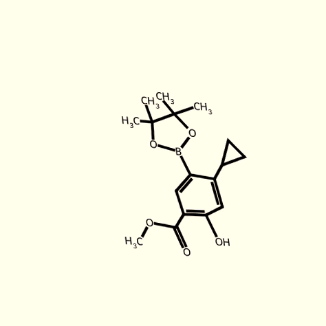 COC(=O)c1cc(B2OC(C)(C)C(C)(C)O2)c(C2CC2)cc1O